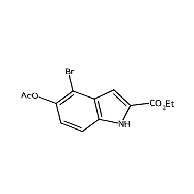 CCOC(=O)c1cc2c(Br)c(OC(C)=O)ccc2[nH]1